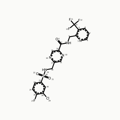 O=C(NCc1ncccc1C(F)(F)F)c1cnc(CNS(=O)(=O)c2ccc(F)c(Cl)c2)cn1